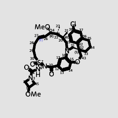 COC1CN(C(=O)N[S@@]2(=O)=NC(=O)c3ccc4c(c3)N(C[C@H](C)[C@@H](C)[C@@H](OC)/C=C/CCC2)C[C@@]2(CCCc3cc(Cl)ccc32)CO4)C1